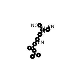 N#Cc1cccc(-c2cc(-c3ccc(-c4ccc(-c5ccc(-n6c7ccccc7c7cc(N(c8ccccc8)c8ccccc8)ccc76)cc5)c(C#N)c4)cc3)nc(-c3cccc(C#N)c3)n2)c1